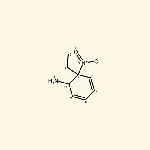 CCC1([N+](=O)[O-])C=CC=CC1N